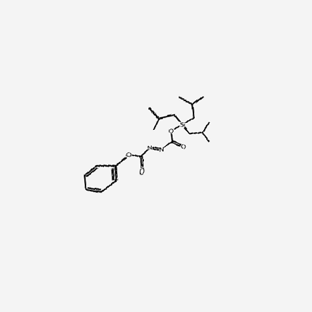 CC(C)C[Si](CC(C)C)(CC(C)C)OC(=O)/N=N/C(=O)Oc1ccccc1